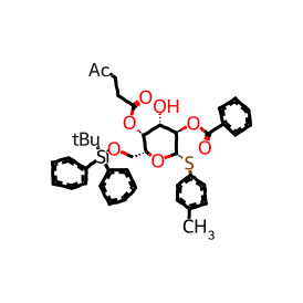 CC(=O)CCC(=O)O[C@@H]1[C@H](O)[C@@H](OC(=O)c2ccccc2)[C@H](Sc2ccc(C)cc2)O[C@@H]1CO[Si](c1ccccc1)(c1ccccc1)C(C)(C)C